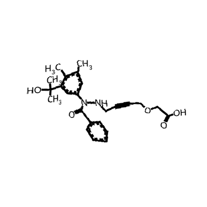 Cc1cc(N(NCC#CCOCC(=O)O)C(=O)c2ccccc2)cc(C(C)(C)O)c1C